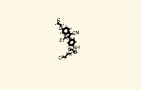 CCn1c(-c2ccc(NS(=O)(=O)CCCCl)cc2)c(C#N)c2ccc(OCCF)cc21